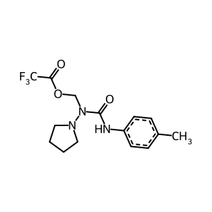 Cc1ccc(NC(=O)N(COC(=O)C(F)(F)F)N2CCCC2)cc1